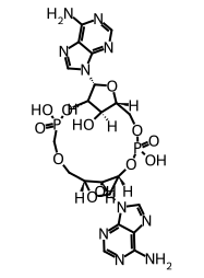 Nc1ncnc2c1ncn2[C@@H]1O[C@@H]2COP(=O)(O)O[C@H]3[C@H](O)[C@@H](COCP(=O)(O)O[C@@H]1[C@@H]2O)O[C@H]3n1cnc2c(N)ncnc21